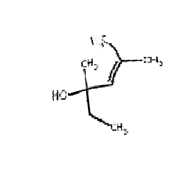 CCC(C)(O)C=C(C)C